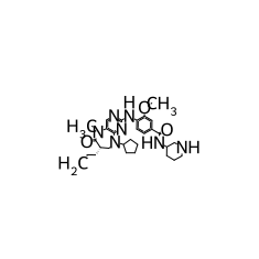 C=CC[C@H]1CN(C2CCCC2)c2nc(Nc3ccc(C(=O)N[C@@H]4CCCNC4)cc3OC)ncc2N(C)C1=O